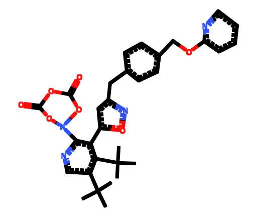 CC(C)(C)c1cnc(N2OC(=O)OC(=O)O2)c(-c2cc(Cc3ccc(COc4ccccn4)cc3)no2)c1C(C)(C)C